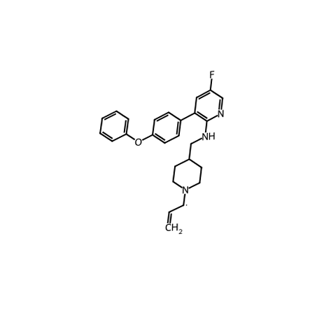 C=C[CH]N1CCC(CNc2ncc(F)cc2-c2ccc(Oc3ccccc3)cc2)CC1